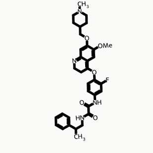 COc1cc2c(cc1OCC1CCN(C)CC1)=NCCC=2Oc1ccc(NC(=O)C(=O)NCC(C)c2ccccc2)cc1F